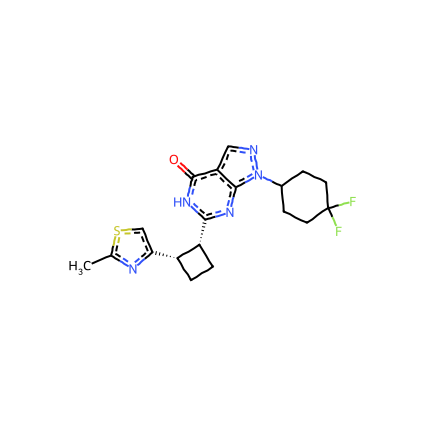 Cc1nc([C@H]2CC[C@H]2c2nc3c(cnn3C3CCC(F)(F)CC3)c(=O)[nH]2)cs1